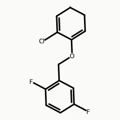 Fc1ccc(F)c(COC2=CC[CH]C=C2Cl)c1